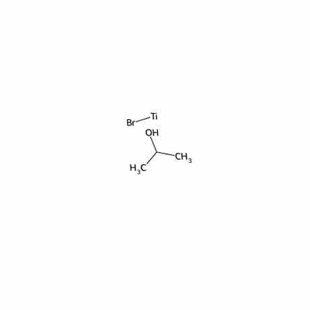 CC(C)O.[Ti][Br]